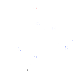 CC(C)CN1CCN(Cc2ccn3ncc(N4CCC(=O)NC4=O)c3c2)[C@@H](C)C1